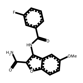 COc1ccc2oc(C(N)=O)c(NC(=O)c3cccc(F)c3)c2c1